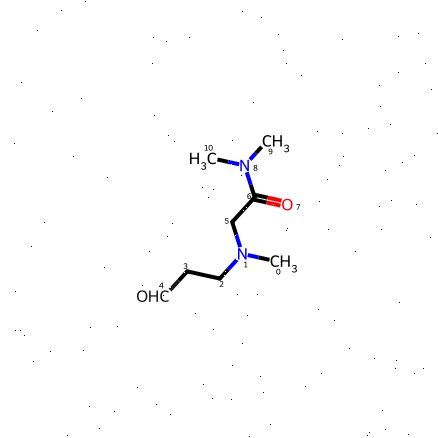 CN(CCC=O)CC(=O)N(C)C